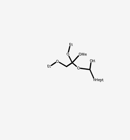 CCCCCCCC(O)OC(COCC)(OC)OCC